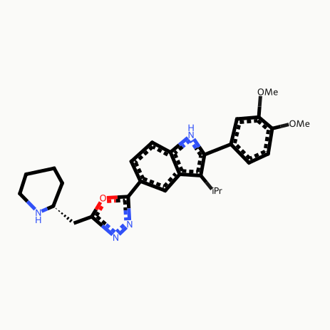 COc1ccc(-c2[nH]c3ccc(-c4nnc(C[C@H]5CCCCN5)o4)cc3c2C(C)C)cc1OC